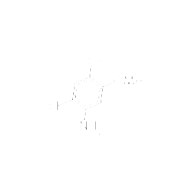 COc1cc(N)c(Cl)cc1C(F)(F)F